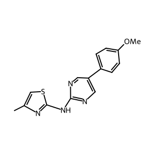 COc1ccc(-c2cnc(Nc3nc(C)cs3)nc2)cc1